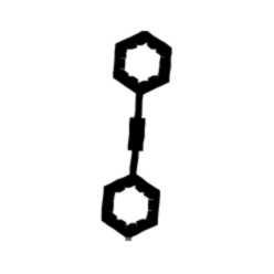 C(#Cc1ccccc1)c1cc[c]cc1